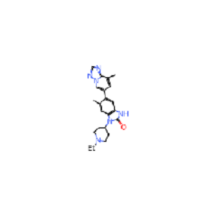 CCN1CCC(n2c(=O)[nH]c3cc(-c4cc(C)c5ncnn5c4)c(C)cc32)CC1